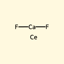 [Ce].[F][Ca][F]